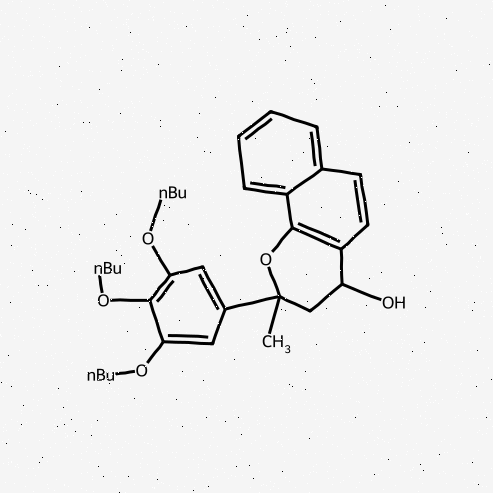 CCCCOc1cc(C2(C)CC(O)c3ccc4ccccc4c3O2)cc(OCCCC)c1OCCCC